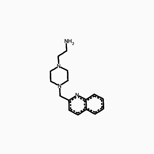 NCCN1CCN(Cc2ccc3ccccc3n2)CC1